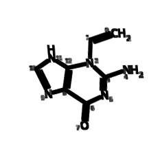 C=Cn1c(N)nc(=O)c2nc[nH]c21